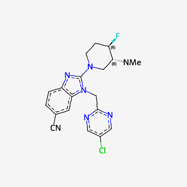 CN[C@@H]1CN(c2nc3ccc(C#N)cc3n2Cc2ncc(Cl)cn2)CC[C@H]1F